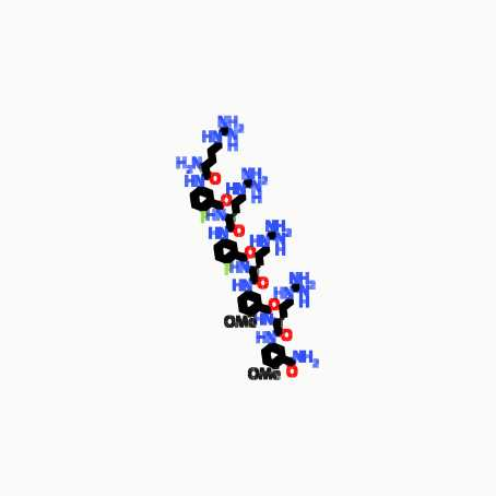 COc1ccc(NC(=O)[C@@H](CCCNC(=N)N)NC(=O)c2cc(NC(=O)[C@@H](CCCNC(=N)N)NC(=O)c3cc(NC(=O)[C@@H](CCCNC(=N)N)NC(=O)c4cc(NC(=O)[C@H](N)CCCNC(=N)N)ccc4F)ccc3F)ccc2OC)cc1C(N)=O